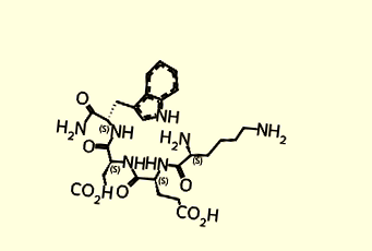 NCCCC[C@H](N)C(=O)N[C@@H](CCC(=O)O)C(=O)N[C@@H](CC(=O)O)C(=O)N[C@@H](Cc1c[nH]c2ccccc12)C(N)=O